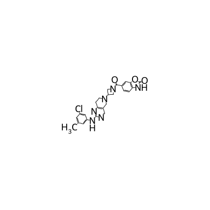 Cc1cc(Cl)cc(Nc2ncc3c(n2)CCN(C2CN(C(=O)c4ccc5[nH]c(=O)oc5c4)C2)C3)c1